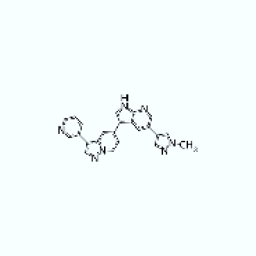 Cn1cc(-c2cnc3[nH]cc(-c4ccn5ncc(-c6cccnc6)c5c4)c3c2)cn1